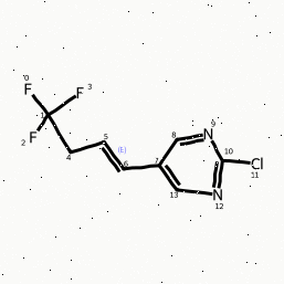 FC(F)(F)C/C=C/c1cnc(Cl)nc1